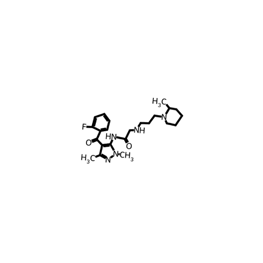 Cc1nn(C)c(NC(=O)CNCCCN2CCCCC2C)c1C(=O)c1ccccc1F